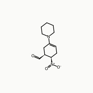 O=C[C@H]1CC(N2CCCCC2)=CC[C@H]1[N+](=O)[O-]